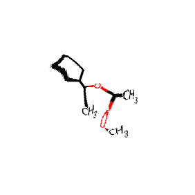 COC(C)OC(C)C1CCCC1